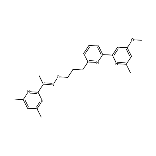 COc1cc(C)nc(-c2cccc(CCCO/N=C(\C)c3nc(C)cc(C)n3)n2)c1